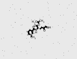 CC(C)OC(=O)[C@H](CCC(=O)C=N)NC(=O)C1=CN(C)C=CC1